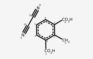 Cc1c(C(=O)O)cccc1C(=O)O.N#CC#N